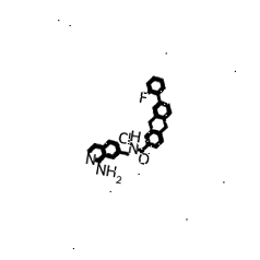 Nc1nccc2cc(Cl)c(CNC(=O)c3ccc4c(c3)Cc3cc(-c5ccccc5F)ccc3C4)cc12